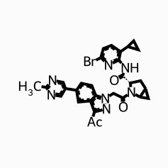 CC(=O)c1nn(CC(=O)N2C3CC3C[C@H]2C(=O)Nc2nc(Br)ccc2C2CC2)c2ccc(-c3cnc(C)nc3)cc12